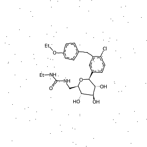 CCNC(=O)NC[C@H]1O[C@@H](c2ccc(Cl)c(Cc3ccc(OCC)cc3)c2)[C@H](O)[C@@H](O)[C@@H]1O